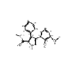 COC(=O)c1[nH]cc(-c2cccc(OC)c2Cl)c1-c1ccccc1